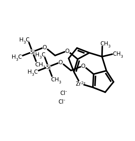 CC1(C)C2=CC[C](=C2OCO[Si](C)(C)C)[Zr+2][C]2=C(OCO[Si](C)(C)C)C1=CC2.[Cl-].[Cl-]